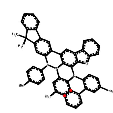 CC(C)(C)c1ccc(N2B3c4cc(C(C)(C)C)ccc4N(c4ccc(C(C)(C)C)cc4-c4ccccc4)c4c3c(cc3c4oc4ccccc43)-c3cc4c(cc32)C(C)(C)c2ccccc2-4)cc1